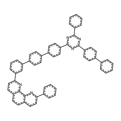 c1ccc(-c2ccc(-c3nc(-c4ccccc4)nc(-c4ccc(-c5ccc(-c6cccc(-c7ccc8ccc9ccc(-c%10ccccc%10)nc9c8n7)c6)cc5)cc4)n3)cc2)cc1